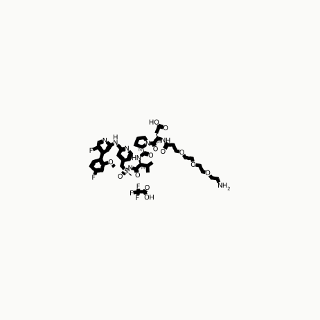 COc1cc(F)ccc1-c1cc(Nc2cc(C[S@](C)(=O)=NC(=O)[C@@H](NC(=O)[C@@H]3CCCN3C(=O)[C@H](CC(=O)O)NC(=O)CCOCCOCCOCCN)C(C)C)ccn2)ncc1F.O=C(O)C(F)(F)F